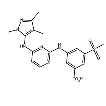 Cc1nn(C)c(Nc2ccnc(Nc3cc(C(=O)O)cc(S(C)(=O)=O)c3)n2)c1C